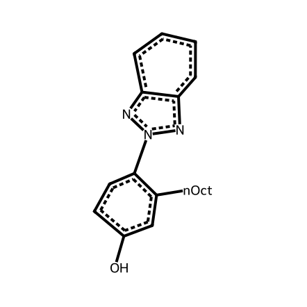 CCCCCCCCc1cc(O)ccc1-n1nc2ccccc2n1